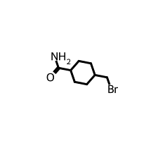 NC(=O)C1CCC(CBr)CC1